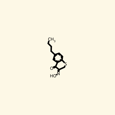 CCCCc1ccc2c(c1)C(=O)C(=NO)CS2